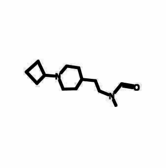 CN(C=O)CCC1CCN(C2CCC2)CC1